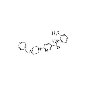 Nc1ccccc1NC(=O)c1ccc(N2CCN(Cc3ccccc3)CC2)nc1